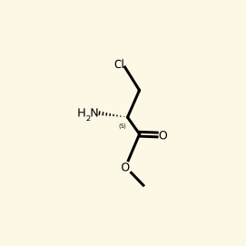 COC(=O)[C@H](N)CCl